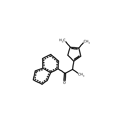 CC1=C(C)CC(C(C)C(=O)c2cccc3ccccc23)=C1